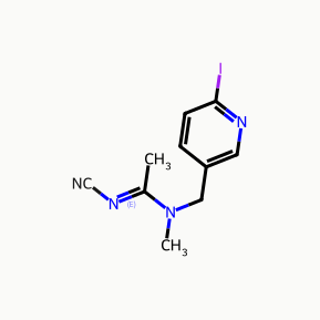 C/C(=N\C#N)N(C)Cc1ccc(I)nc1